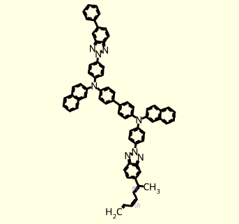 C=C/C=C\C=C(/C)c1ccc2nn(-c3ccc(N(c4ccc(-c5ccc(N(c6ccc(-n7nc8ccc(-c9ccccc9)cc8n7)cc6)c6ccc7ccccc7c6)cc5)cc4)c4ccc5ccccc5c4)cc3)nc2c1